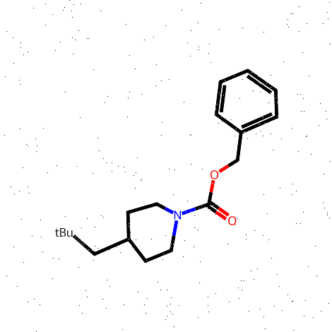 CC(C)(C)CC1CCN(C(=O)OCc2ccccc2)CC1